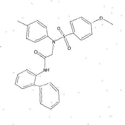 COc1ccc(S(=O)(=O)N(CC(=O)Nc2ccccc2-c2ccccc2)c2ccc(C)cc2)cc1